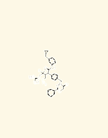 CCC(C(C(=O)Nc1cccc(CC2CC2)c1)c1ccc(CN2N=C(c3ccccc3)OCC2=O)cc1)C(F)(F)F.O=C(O)O